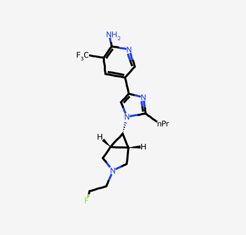 CCCc1nc(-c2cnc(N)c(C(F)(F)F)c2)cn1[C@@H]1[C@@H]2CN(CCF)C[C@@H]21